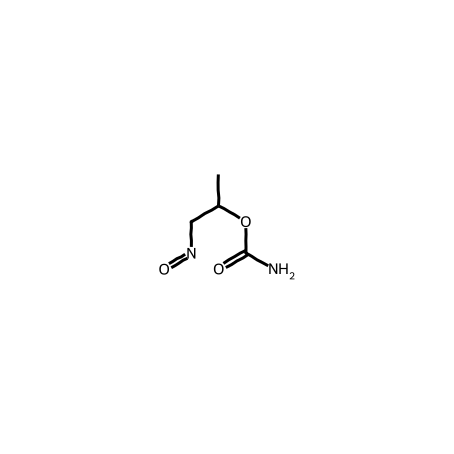 CC(CN=O)OC(N)=O